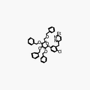 CCc1ccc(Cc2cc([C@@H]3O[C@H](COCc4ccccc4)[C@@H](OCc4ccccc4)[C@H](OCc4ccccc4)[C@H]3OCc3ccccc3)ccc2Cl)nn1